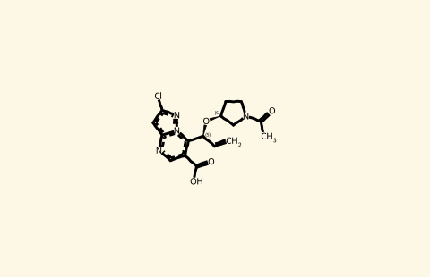 C=C[C@H](O[C@H]1CCN(C(C)=O)C1)c1c(C(=O)O)cnc2cc(Cl)nn12